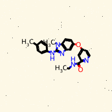 CCNC(=O)c1cc(Oc2ccc3c(c2)nc(Nc2ccc(C)cc2)n3C)ccn1